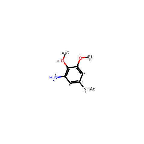 CCOc1cc(NC(C)=O)cc(N)c1OCC